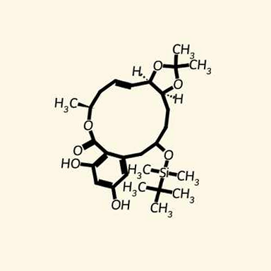 C[C@H]1C/C=C/[C@H]2OC(C)(C)O[C@H]2CCC(O[Si](C)(C)C(C)(C)C)Cc2cc(O)cc(O)c2C(=O)O1